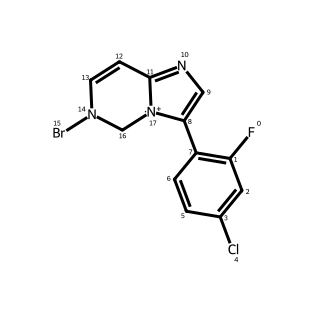 Fc1cc(Cl)ccc1C1=CN=C2C=CN(Br)C[N+]12